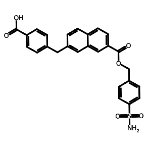 NS(=O)(=O)c1ccc(COC(=O)c2ccc3ccc(Cc4ccc(C(=O)O)cc4)cc3c2)cc1